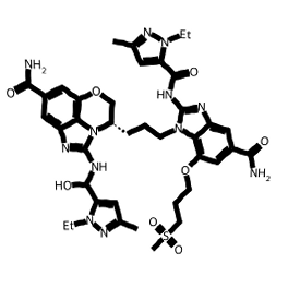 CCn1nc(C)cc1C(=O)Nc1nc2cc(C(N)=O)cc(OCCCS(C)(=O)=O)c2n1CCC[C@H]1COc2cc(C(N)=O)cc3nc(NC(O)c4cc(C)nn4CC)n1c23